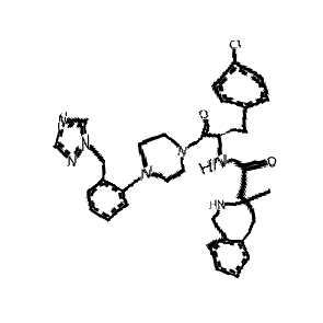 CC1(C(=O)N[C@H](Cc2ccc(Cl)cc2)C(=O)N2CCN(c3ccccc3Cn3cncn3)CC2)Cc2ccccc2CN1